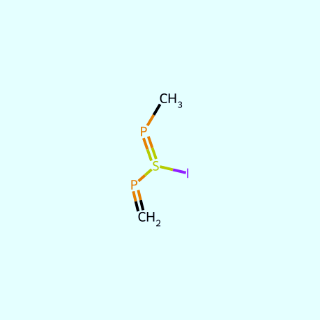 C=PS(I)=PC